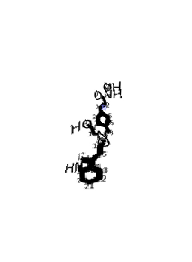 O=C(/C=C/c1ccc(CN(CCO)OCCc2c[nH]c3ccccc23)cc1)NO